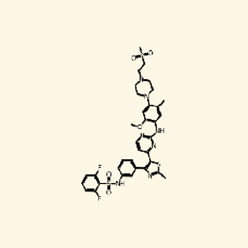 COc1cc(N2CCN(CCS(C)(=O)=O)CC2)c(C)cc1Nc1nccc(-c2sc(C)nc2-c2cccc(NS(=O)(=O)c3c(F)cccc3F)c2)n1